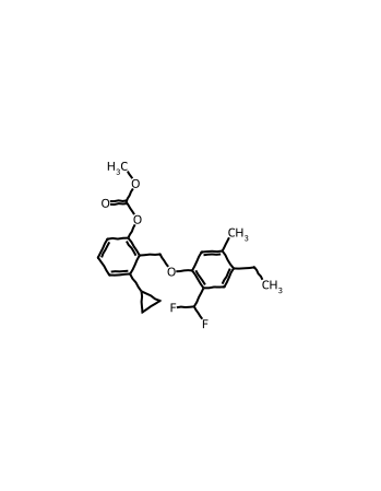 CCc1cc(C(F)F)c(OCc2c(OC(=O)OC)cccc2C2CC2)cc1C